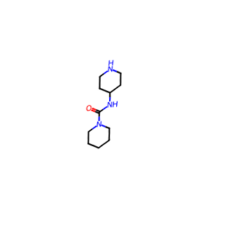 O=C(NC1CCNCC1)N1CCCCC1